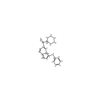 O=C(c1ccc2ncc(Cc3ccccc3)n2c1)N1CCCCC1